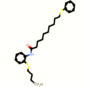 O=C(O)CCCSc1ccccc1NC(=O)CCCCCCCCCSc1ccccc1